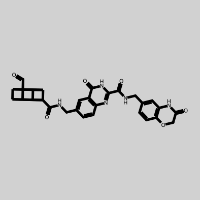 O=CC12C3C4C1C1C2C3C41C(=O)NCc1ccc2nc(C(=O)NCc3ccc4c(c3)NC(=O)CO4)[nH]c(=O)c2c1